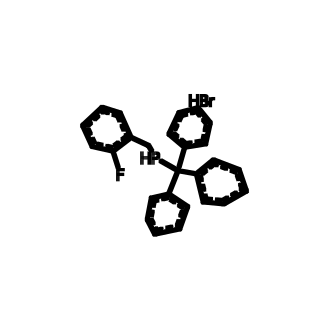 Br.Fc1ccccc1CPC(c1ccccc1)(c1ccccc1)c1ccccc1